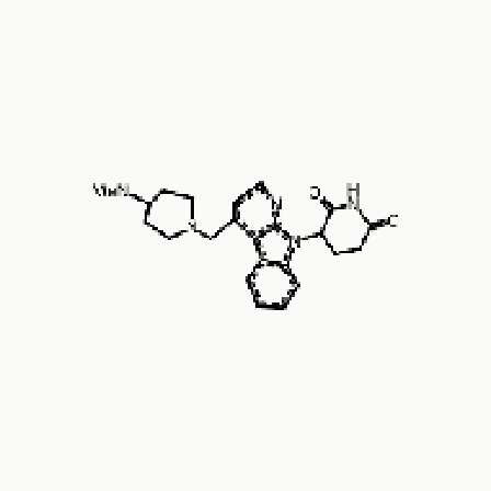 CNC1CCN(Cc2ccnc3c2c2ccccc2n3C2CCC(=O)NC2=O)CC1